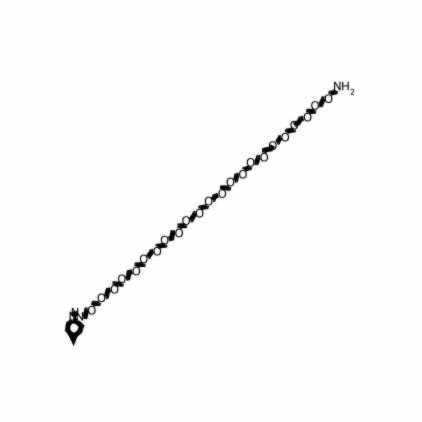 NCCOCCOCCOCCOCCOCCOCCOCCOCCOCCOCCOCCOCCOCCOCCOCCOCCOCCOCCOCCOCCOCCOCCOCCn1nnc2c1CCC1CC1CC2